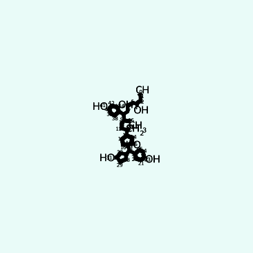 C#C/C=C(O)\C=C/CC(C(/C=C\C(=C)c1ccc(C(c2ccc(O)cc2O)C2C=CC(O)=C2)cc1)=C/C)c1ccc(O)cc1O